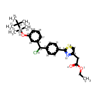 CCOC(=O)Cc1csc(-c2ccc(C(Cl)c3cccc(O[Si](C)(C)C(C)(C)C)c3)cc2)n1